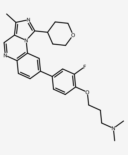 Cc1nc(C2CCOCC2)n2c1cnc1ccc(-c3ccc(OCCCN(C)C)c(F)c3)cc12